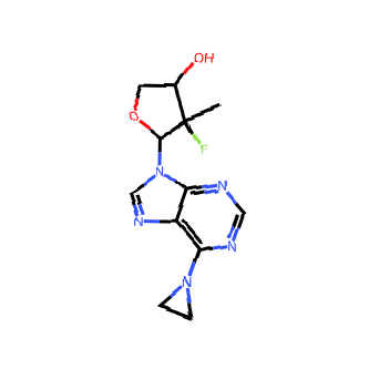 CC1(F)C(O)COC1n1cnc2c(N3CC3)ncnc21